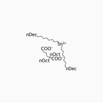 CCCCCCCCC(CCCCCCCC)(CCCC(=O)[O-])C(=O)[O-].CCCCCCCCCCCCCCCCC[CH2][Sn+2][CH2]CCCCCCCCCCCCCCCCC